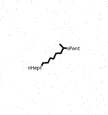 C[CH]CCCC(C)CCCCCCCCCCCCC